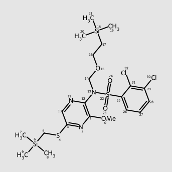 COc1nc(SC[Si](C)(C)C)cnc1N(COCC[Si](C)(C)C)S(=O)(=O)c1cccc(Cl)c1Cl